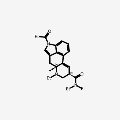 CCC(=O)n1cc2c3c(cccc31)C1=C[C@@H](C(=O)N(CC)CC)CN(CC)[C@@H]1C2